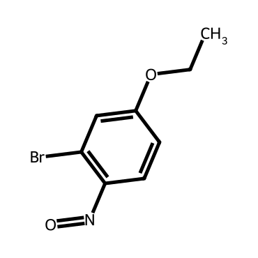 CCOc1ccc(N=O)c(Br)c1